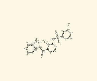 O=C(c1cccc(NS(=O)(=O)c2cccc(F)c2)c1F)c1c[nH]c2ncncc12